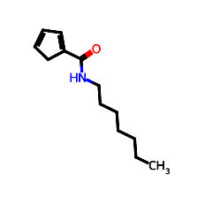 CCCCCCCNC(=O)C1=CC=CC1